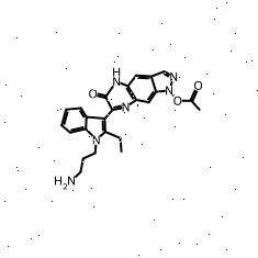 CCc1c(-c2nc3cc4c(cnn4OC(C)=O)cc3[nH]c2=O)c2ccccc2n1CCCN